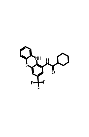 O=C(Nc1cc(C(F)(F)F)cc2c1Nc1ccccc1S2)C1CCCCC1